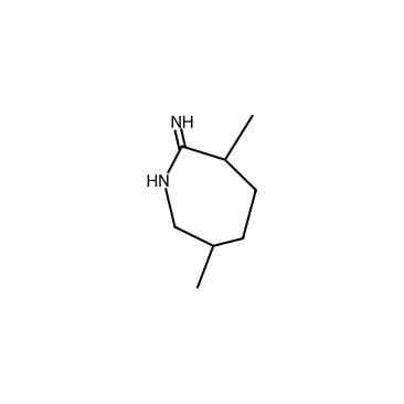 CC1CCC(C)C(=N)NC1